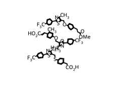 COC(=O)CCc1ccc(OCc2sc(-c3ccc(C(F)(F)F)cc3)nc2C)cc1.Cc1cc(OCc2oc(-c3ccc(C(F)(F)F)cc3)nc2C)ccc1C=CC(=O)O.Cc1nc(-c2ccc(C(F)(F)F)cc2)sc1CSc1ccc(CC(=O)O)cc1